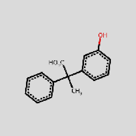 CC(C(=O)O)(c1ccccc1)c1cccc(O)c1